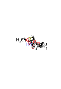 C=CCOC(=O)[C@]1([C@H]2NC(=O)[C@H]2CCO[Si](C)(C)C(C)(C)C)SCCC1=O